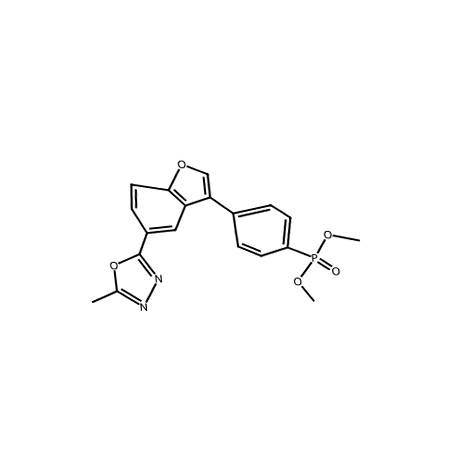 COP(=O)(OC)c1ccc(-c2coc3ccc(-c4nnc(C)o4)cc23)cc1